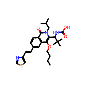 CCCCOc1c(C(NC(=O)O)C(C)(C)C)n(CC(C)C)c(=O)c2ccc(C=Cc3cscn3)cc12